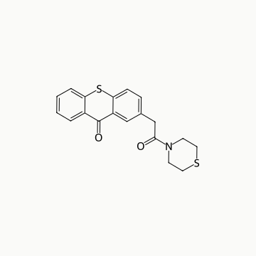 O=C(Cc1ccc2sc3ccccc3c(=O)c2c1)N1CCSCC1